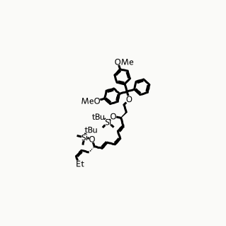 CC/C=C\C[C@@H](/C=C/C=C\C=C\[C@H](CCOC(c1ccccc1)(c1ccc(OC)cc1)c1ccc(OC)cc1)O[Si](C)(C)C(C)(C)C)O[Si](C)(C)C(C)(C)C